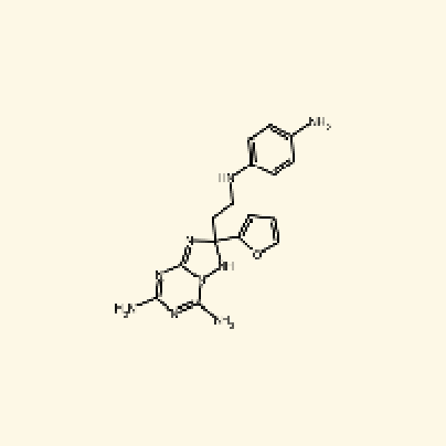 NC1=NC2=NC(CCNc3ccc(N)cc3)(c3ccco3)NN2C(N)=N1